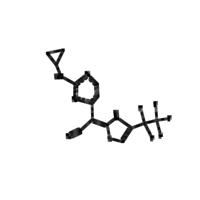 N#CC(=C1NC(C(F)(F)C(F)(F)F)=CS1)c1ccnc(NC2CC2)n1